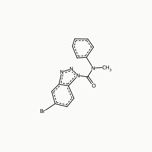 CN(C(=O)n1nnc2cc(Br)ccc21)c1ccccc1